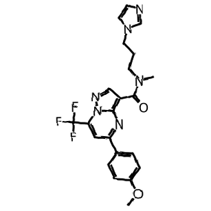 COc1ccc(-c2cc(C(F)(F)F)n3ncc(C(=O)N(C)CCCn4ccnc4)c3n2)cc1